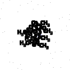 CCOP(=O)(OCC)C(C)(C#N)C/C(C)=C/Cc1c(OC)c(C)c2c(c1OCC[Si](C)(C)C)C(=O)OC2